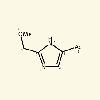 COCc1ncc(C(C)=O)[nH]1